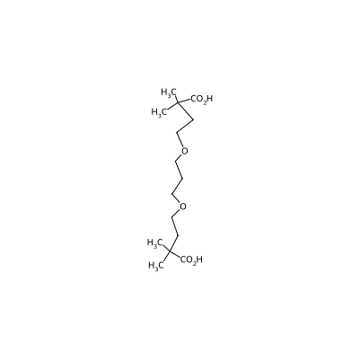 CC(C)(CCOCCCOCCC(C)(C)C(=O)O)C(=O)O